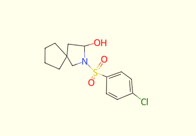 O=S(=O)(c1ccc(Cl)cc1)N1CC2(CCCC2)CC1O